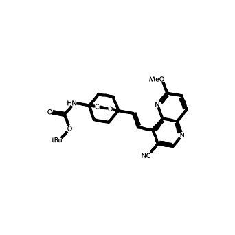 COc1ccc2ncc(C#N)c(C=CC34CCC(NC(=O)OC(C)(C)C)(CC3)CO4)c2n1